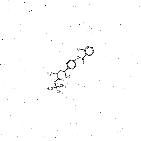 CN(CC(O)c1ccc(OC(=O)c2ccccc2Cl)cc1)C(=O)OC(C)(C)C